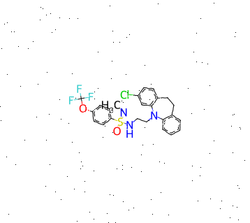 CN=S(=O)(NCCN1c2ccccc2CCc2ccc(Cl)cc21)c1ccc(OC(F)(F)F)cc1